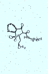 C=CCN1C(C(=O)NCCCCC)C(=O)c2ccccc2S1(=O)=O